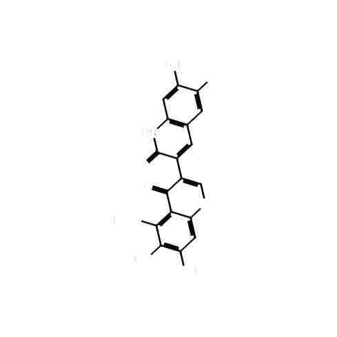 O=C(O)c1c(O)c(O)cc2occ(-c3cc4cc(O)c(O)cc4[nH]c3=O)c(=O)c12